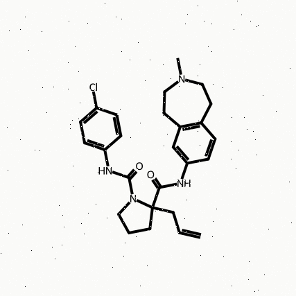 C=CCC1(C(=O)Nc2ccc3c(c2)CCN(C)CC3)CCCN1C(=O)Nc1ccc(Cl)cc1